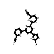 N#Cc1cccc(-c2cc(-c3ccc(Br)o3)cc(-c3cccc(C#N)n3)n2)n1